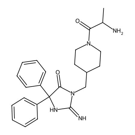 CC(N)C(=O)N1CCC(CN2C(=N)NC(c3ccccc3)(c3ccccc3)C2=O)CC1